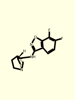 Fc1ccc2c(N[C@@H]3CN4CCC3CC4)noc2c1F